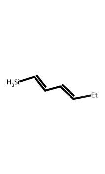 CCC=CC=C[SiH3]